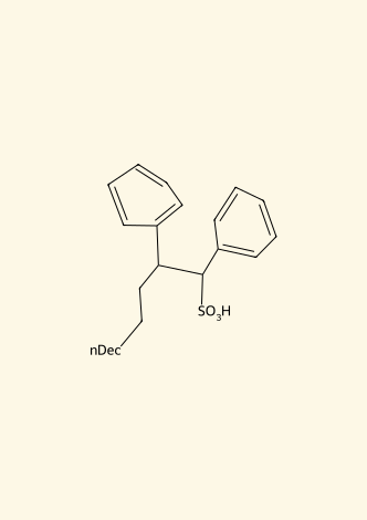 CCCCCCCCCCCCC(c1ccccc1)C(c1ccccc1)S(=O)(=O)O